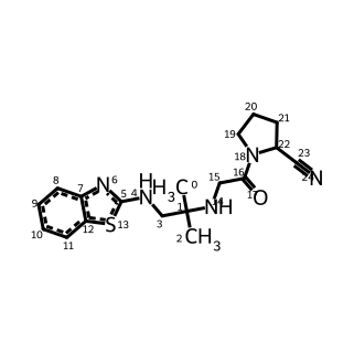 CC(C)(CNc1nc2ccccc2s1)NCC(=O)N1CCCC1C#N